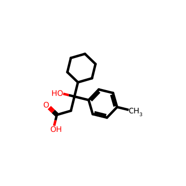 Cc1ccc(C(O)(CC(=O)O)C2CCCCC2)cc1